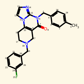 Cc1ccc(Cn2c(=O)c3c(n4ccnc24)CCN(Cc2cccc(F)c2)C3)cc1